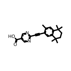 Cc1cc2c(cc1C#Cc1ncc(C(=O)O)cn1)C(C)(C)CCC2(C)C